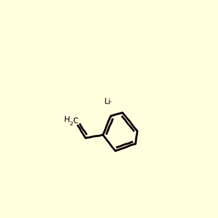 C=Cc1ccccc1.[Li]